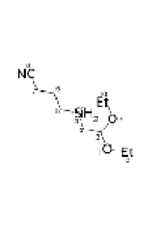 CCOC(C[SiH2]CCCC#N)OCC